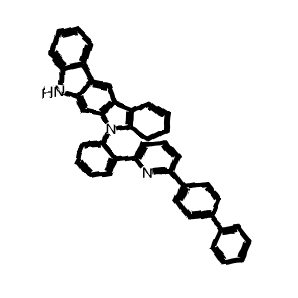 C1=Cc2c(n(-c3ccccc3-c3cccc(-c4ccc(-c5ccccc5)cc4)n3)c3cc4[nH]c5ccccc5c4cc23)CC1